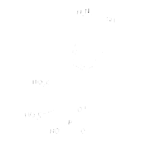 N=C(N)c1ccc(CC(C(=O)O)C(C(=O)O)P(=O)(O)O)cc1